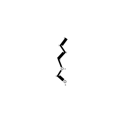 C=C/C=C/O[C]=O